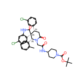 Cc1ccccc1[C@H]1N(CC(=O)NC2CCN(C(=O)OC(C)(C)C)CC2)C(=O)C[C@@H](c2cccc(Cl)c2)[C@]12C(=O)Nc1cc(Cl)ccc12